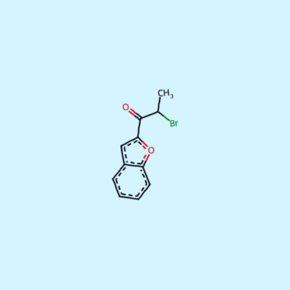 CC(Br)C(=O)c1cc2ccccc2o1